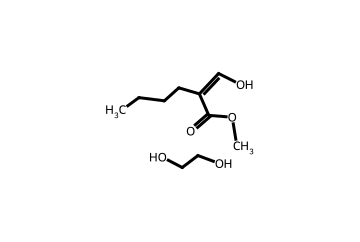 CCCCC(=CO)C(=O)OC.OCCO